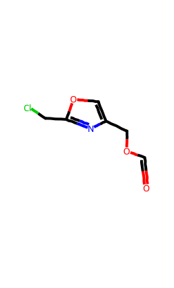 O=COCc1coc(CCl)n1